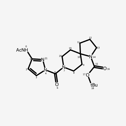 CC(=O)Nc1ccn(C(=O)N2CCC3(CCCN3C(=O)OC(C)(C)C)CC2)n1